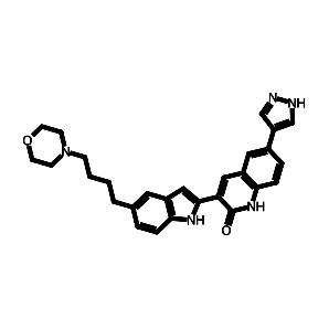 O=c1[nH]c2ccc(-c3cn[nH]c3)cc2cc1-c1cc2cc(CCCCN3CCOCC3)ccc2[nH]1